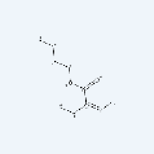 CC=C(CC)C(=O)OCCCC